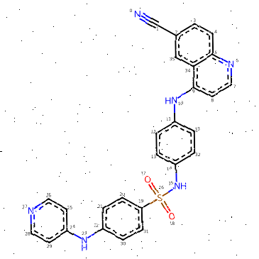 N#Cc1ccc2nccc(Nc3ccc(NS(=O)(=O)c4ccc(Nc5ccncc5)cc4)cc3)c2c1